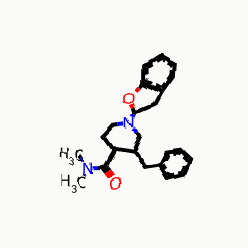 CN(C)C(=O)C1CCN(C2Cc3ccccc3O2)CC1Cc1ccccc1